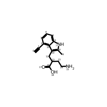 C#Cc1cccc2[nH]c(C)c(CC(CCN)C(=O)O)c12